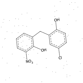 O=[N+]([O-])c1cccc(Cc2cc(Cl)ccc2O)c1O